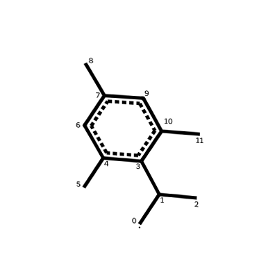 [CH2]C(C)c1c(C)cc(C)cc1C